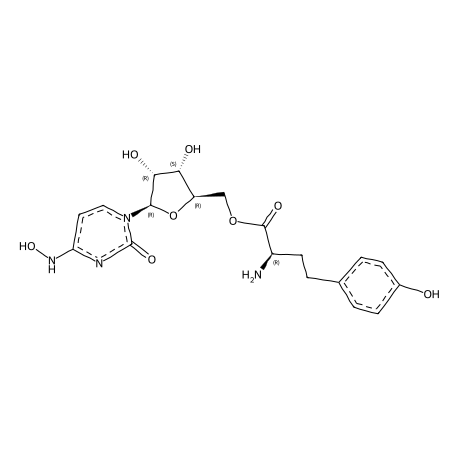 N[C@H](CCc1ccc(O)cc1)C(=O)OC[C@H]1O[C@@H](n2ccc(NO)nc2=O)[C@H](O)[C@@H]1O